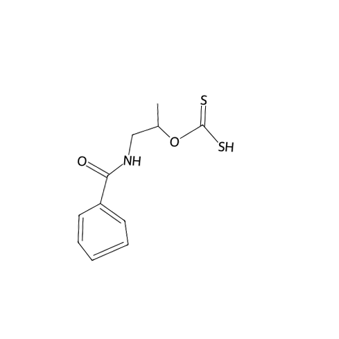 CC(CNC(=O)c1ccccc1)OC(=S)S